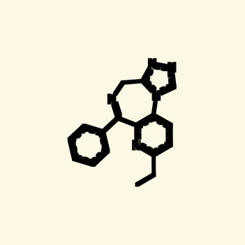 CCc1ccc2c(n1)C(c1ccccc1)=NCc1nncn1-2